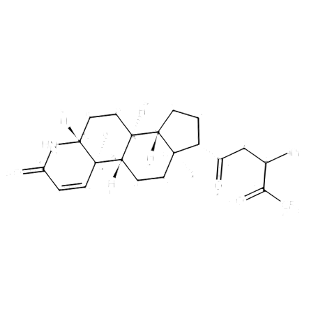 CC(C)C(CC(=O)[C@H]1CC[C@H]2[C@@H]3CC[C@H]4NC(=O)C=C[C@]4(C)[C@H]3CC[C@]12C)C(=O)C(F)(F)F